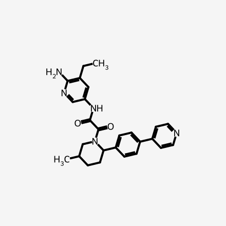 CCc1cc(NC(=O)C(=O)N2CC(C)CCC2c2ccc(-c3ccncc3)cc2)cnc1N